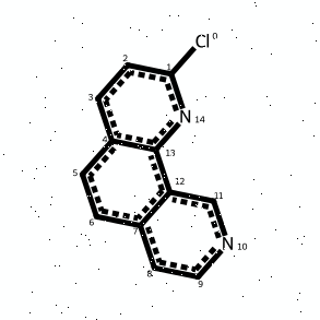 Clc1ccc2ccc3ccncc3c2n1